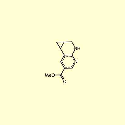 COC(=O)c1cnc2c(c1)C1CC1CN2